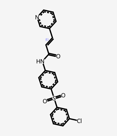 O=C(/C=C/c1cccnc1)Nc1ccc(S(=O)(=O)c2cccc(Cl)c2)cc1